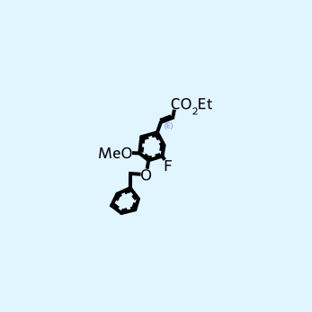 CCOC(=O)/C=C/c1cc(F)c(OCc2ccccc2)c(OC)c1